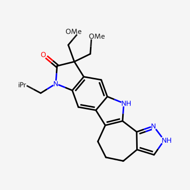 COCC1(COC)C(=O)N(CC(C)C)c2cc3c4c([nH]c3cc21)-c1n[nH]cc1CCC4